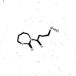 CCCCCCCCCC(=O)N1CCCCSC1=O